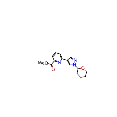 COC(=O)c1cccc(-c2cnn(C3CCCCO3)c2)n1